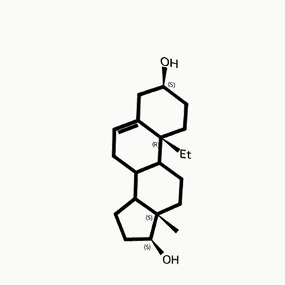 CC[C@]12CC[C@H](O)CC1=CCC1C2CC[C@@]2(C)C1CC[C@@H]2O